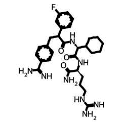 N=C(N)NCCC[C@H](NC(=O)[C@@H](NC(=O)C(Cc1ccc(C(=N)N)cc1)c1cccc(F)c1)C1CCCCC1)C(N)=O